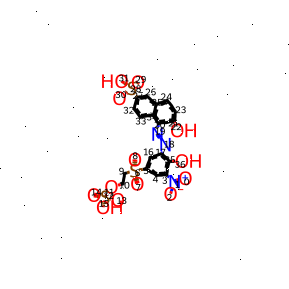 O=[N+]([O-])c1cc(S(=O)(=O)CCOS(=O)(=O)O)cc(N=Nc2c(O)ccc3cc(S(=O)(=O)O)ccc23)c1O